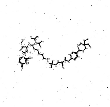 [2H]C[C@H]1O[C@@H](n2ccc(=O)[nH]c2=O)[C@@H](F)C1OP(OCCCCSSC(C)(C)CCC(=O)NCc1ccc(C2OCC(CC)(CC)CO2)cc1)N(C(C)C)C(C)C